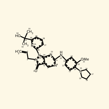 C=CCn1c(=O)c2cnc(Nc3ccc(N4CCCC4)c(OC)c3)nc2n1-c1cccc(C(C)(C)O)n1